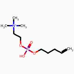 C=CCCCOP(=O)(O)OCC[N+](C)(C)C